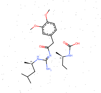 CC[C@@H](C)NC(=O)O.COc1ccc(CC(=O)N=C(N)N[C@H](C)CC(C)C)cc1OC